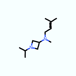 CC(C)=CCN(C)C1CN(C(C)C)C1